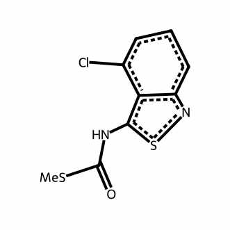 CSC(=O)Nc1snc2cccc(Cl)c12